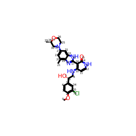 COc1ccc([C@H](O)CNc2cc[nH]c(=O)c2-c2nc3c(C)cc(N4CCO[C@H](C)C4)cc3[nH]2)cc1Cl